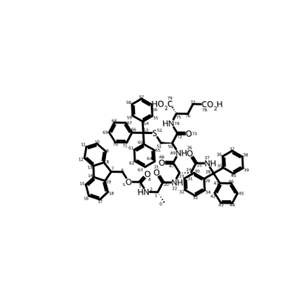 C[C@H](NC(=O)OCC1c2ccccc2-c2ccccc21)C(=O)N[C@@H](CC(=O)NC(c1ccccc1)(c1ccccc1)c1ccccc1)C(=O)N[C@@H](CSC(c1ccccc1)(c1ccccc1)c1ccccc1)C(=O)N[C@@H](CCC(=O)O)C(=O)O